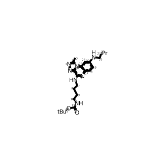 Cc1nnc2c(NCCCCNC(=O)OC(C)(C)C)nc3ccc(NCC(C)C)cc3n12